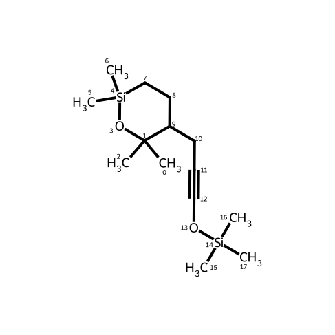 CC1(C)O[Si](C)(C)CCC1CC#CO[Si](C)(C)C